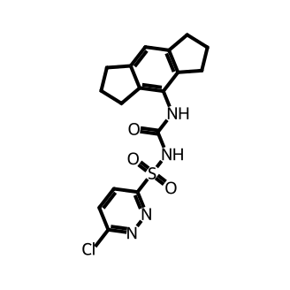 O=C(Nc1c2c(cc3c1CCC3)CCC2)NS(=O)(=O)c1ccc(Cl)nn1